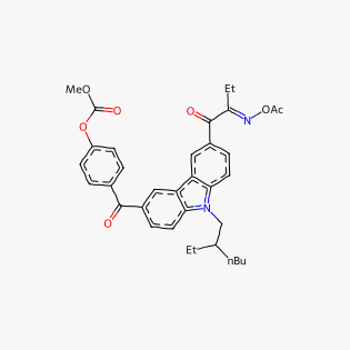 CCCCC(CC)Cn1c2ccc(C(=O)C(CC)=NOC(C)=O)cc2c2cc(C(=O)c3ccc(OC(=O)OC)cc3)ccc21